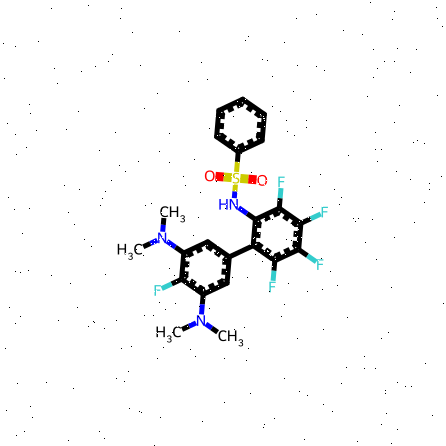 CN(C)c1cc(-c2c(F)c(F)c(F)c(F)c2NS(=O)(=O)c2ccccc2)cc(N(C)C)c1F